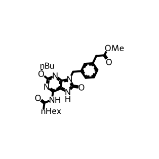 CCCCCCC(=O)Nc1nc(OCCCC)nc2c1[nH]c(=O)n2Cc1cccc(CC(=O)OC)c1